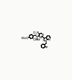 COc1ccc(CNc2nc(-c3nn(Cc4ccccc4F)c4ncccc34)ncc2[N+](=O)[O-])c(OC)c1